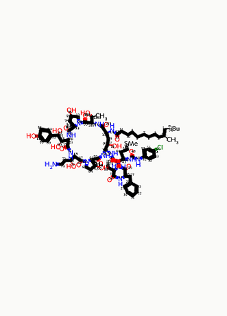 CC[C@H](C)C[C@H](C)CCCCCCCCC(=O)N[C@H]1C[C@@H](O)[C@@H](NCCNC(=O)C(Cc2ccccc2)NC(=O)C(CC(C)C)NC(=O)C(CCSC)NC(=O)Nc2ccc(Cl)cc2)NC(=O)[C@@H]2[C@@H](O)CCN2C(=O)[C@H]([C@H](O)CCN)NC(=O)[C@H]([C@H](O)[C@@H](O)c2ccc(O)cc2)NC(=O)[C@@H]2C[C@@H](O)CN2C(=O)[C@H]([C@@H](C)O)NC1=O